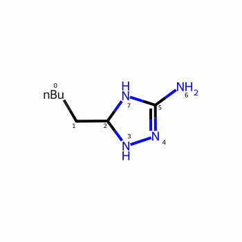 CCCCCC1NN=C(N)N1